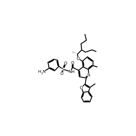 CCCC(CCC)[C@@H](C)Oc1ccc(C)c2nc(-c3oc4ccccc4c3C)cc(C(=O)NS(=O)(=O)c3cccc(N)c3)c12